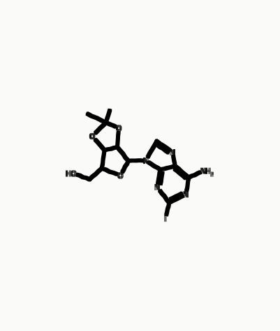 CC1(C)OC2C(CO)OC(n3cnc4c(N)nc(I)nc43)C2O1